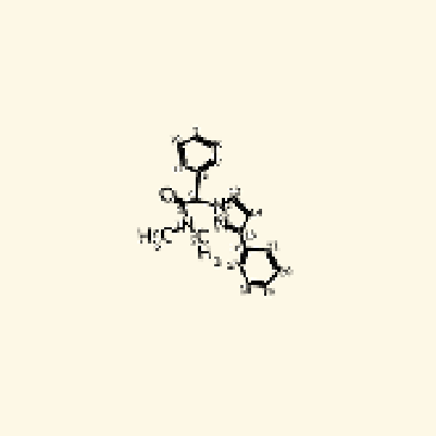 CN(C)C(=O)C(c1ccccc1)n1ccc(-c2ccccc2)n1